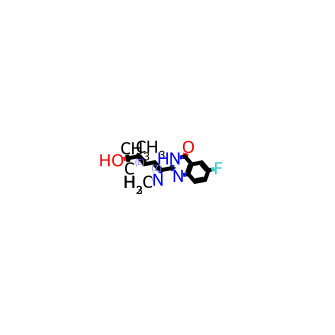 C=N/C(=C\C=C(/C)C(C)(C)O)c1nc2ccc(F)cc2c(=O)[nH]1